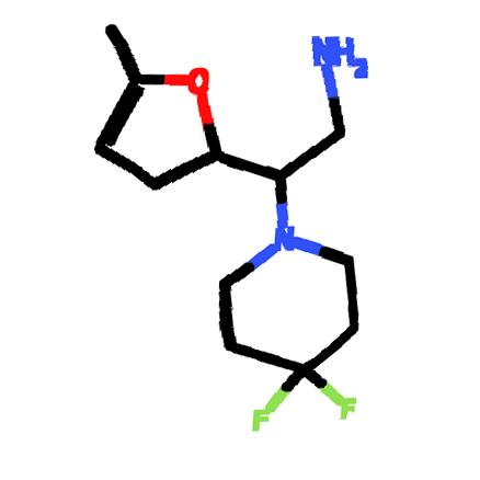 CC1=CCC(C(CN)N2CCC(F)(F)CC2)O1